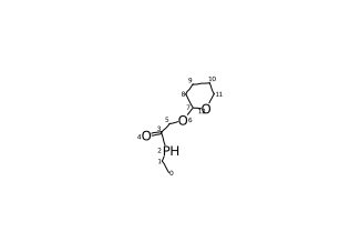 CCPC(=O)COC1CCCCO1